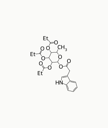 CCC(=O)OC1C(C)OC(OC(=O)Cc2c[nH]c3ccccc23)C(OC(=O)CC)C1OC(=O)CC